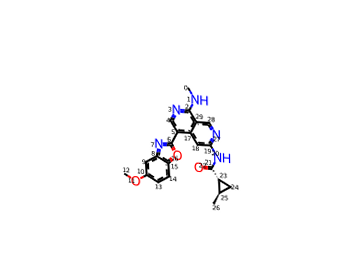 CNc1ncc(-c2nc3cc(OC)ccc3o2)c2cc(NC(=O)[C@@H]3C[C@H]3C)ncc12